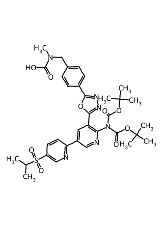 CC(C)S(=O)(=O)c1ccc(-c2cnc(N(C(=O)OC(C)(C)C)C(=O)OC(C)(C)C)c(-c3nnc(-c4ccc(CN(C)C(=O)O)cc4)o3)c2)nc1